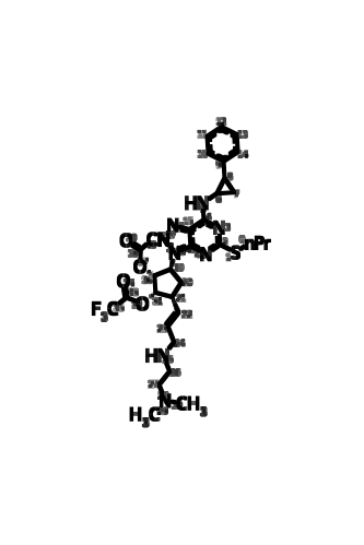 CCCSc1nc(NC2CC2c2ccccc2)c2nnn([C@H]3C[C@@H](/C=C/CNCCN(C)C)[C@H](OC(=O)C(F)(F)F)[C@@H]3OC(=O)C(F)(F)F)c2n1